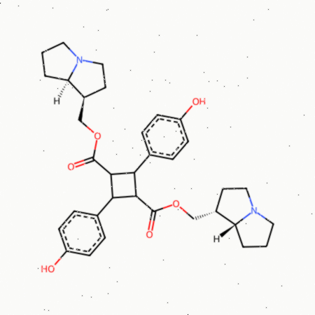 O=C(OC[C@@H]1CCN2CCC[C@H]12)C1C(c2ccc(O)cc2)C(C(=O)OC[C@@H]2CCN3CCC[C@H]23)C1c1ccc(O)cc1